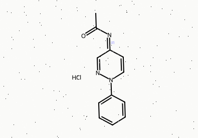 CC(=O)/N=c1/ccn(-c2ccccc2)nc1.Cl